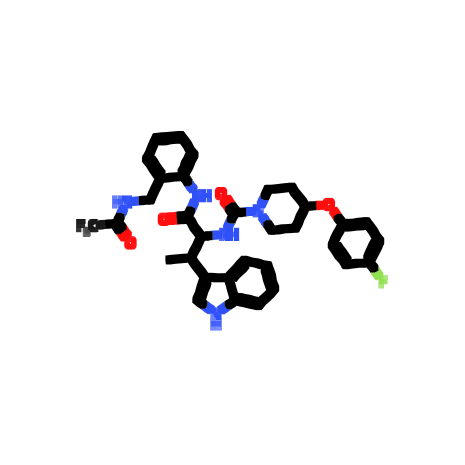 CC(c1c[nH]c2ccccc12)C(NC(=O)N1CCC(Oc2ccc(F)cc2)CC1)C(=O)Nc1ccccc1CNC(=O)C(F)(F)F